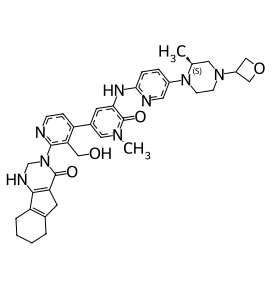 C[C@H]1CN(C2COC2)CCN1c1ccc(Nc2cc(-c3ccnc(N4CNC5=C(CC6=C5CCCC6)C4=O)c3CO)cn(C)c2=O)nc1